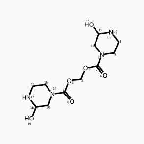 O=C(OCOC(=O)N1CCNC(O)C1)N1CCNC(O)C1